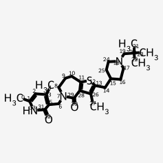 Cc1cc(C)c(CN2CCCc3sc(CC4CCN(CC(C)(C)C)CC4)c(C)c3C2=O)c(=O)[nH]1